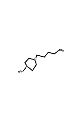 CCCN1CCN(CCCCC(C)(C)C)CC1